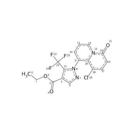 CCOC(=O)c1cnn(-c2cccn3c(=O)ccc(Cl)c23)c1C(F)(F)F